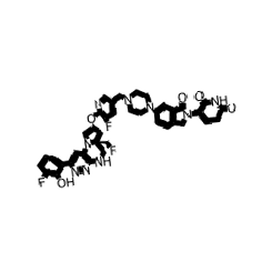 O=C1CCC(N2Cc3ccc(N4CCN(Cc5cnc(O[C@H]6CN7c8cc(-c9cccc(F)c9O)nnc8NC[C@@]7(CF)C6)c(F)c5)CC4)cc3C2=O)C(=O)N1